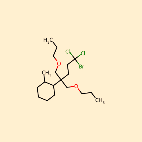 CCCOCC(CCC(Cl)(Cl)Br)(COCCC)C1CCCCC1C